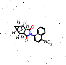 O=C1[C@@H]2[C@@H]3CC[C@@H]([C@H]4C[C@H]43)[C@@H]2C(=O)N1c1ccc([N+](=O)[O-])c2ccccc12